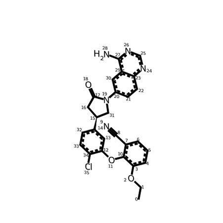 CCOc1cccc(C#N)c1Oc1cc([C@H]2CC(=O)N(c3ccc4ncnc(N)c4c3)C2)ccc1Cl